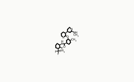 CNc1cc(-c2cccnc2Oc2cc(C(=O)Nc3cccc(C(F)(F)F)c3C)ccc2C)ccn1